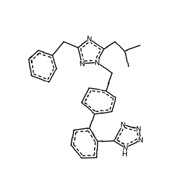 CC(C)Cc1nc(Cc2ccccc2)nn1Cc1ccc(-c2ccccc2-c2nnn[nH]2)cc1